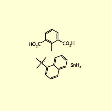 C[N+](C)(C)c1cccc2ccccc12.Cc1c(C(=O)O)cccc1C(=O)O.[SnH4]